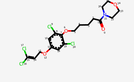 O=C(CCCCOc1c(Cl)cc(OCC=C(Cl)Cl)cc1Cl)N1CCOCC1